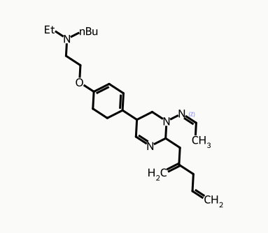 C=CCC(=C)CC1N=CC(C2=CC=C(OCCN(CC)CCCC)CC2)CN1/N=C\C